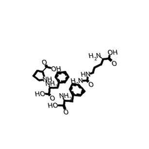 NC(=O)NCCC[C@H](N)C(=O)O.N[C@@H](Cc1ccccc1)C(=O)O.N[C@@H](Cc1ccccc1)C(=O)O.O=C(O)[C@@H]1CCCN1